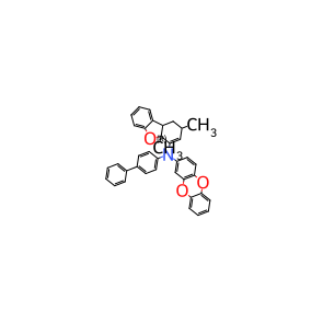 CC1C=C(N(c2ccc(-c3ccccc3)cc2)c2ccc3c(c2)Oc2ccccc2O3)[C@]2(C)Oc3ccccc3C2C1